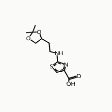 CC1(C)OCC(CCNc2nc(C(=O)O)cs2)O1